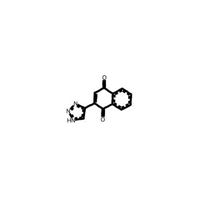 O=C1C=C(c2c[nH]nn2)C(=O)c2ccccc21